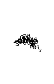 CON=C(C(=O)NC1C(=O)N2C(C(=O)O)=C([n+]3ccc4cc(C)sc4c3)SCC12)c1csc(N)n1